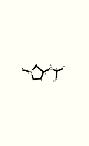 CN1CCC(OC(F)F)C1